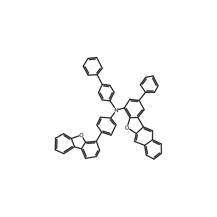 c1ccc(-c2ccc(N(c3ccc(-c4cccc5c4oc4ccccc45)cc3)c3cc(-c4ccccc4)cc4c3oc3cc5ccccc5cc34)cc2)cc1